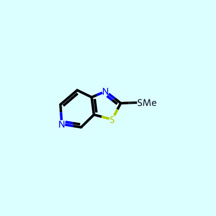 CSc1nc2ccncc2s1